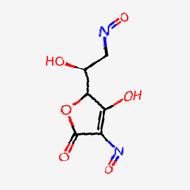 O=NC[C@H](O)C1OC(=O)C(N=O)=C1O